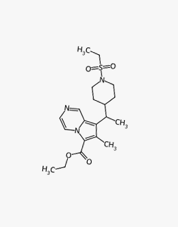 CCOC(=O)c1c(C)c(C(C)C2CCN(S(=O)(=O)CC)CC2)c2cnccn12